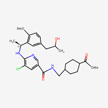 COC(=O)C1CCC(CNC(=O)c2cnc(N[C@@H](C)c3cc(CC(C)O)ccc3OC)c(Cl)c2)CC1